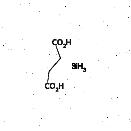 O=C(O)CCC(=O)O.[BiH3]